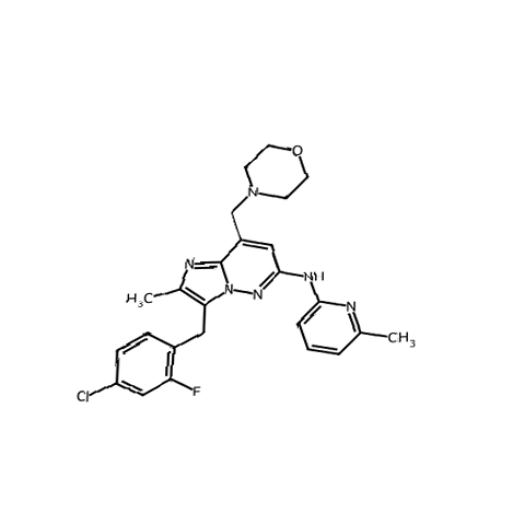 Cc1cccc(Nc2cc(CN3CCOCC3)c3nc(C)c(Cc4ccc(Cl)cc4F)n3n2)n1